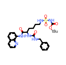 CC(C)(C)OC(=O)NS(=O)(=O)NCCCCC(NC(=O)NCc1ccccc1)C(=O)Nc1cccc2cccnc12